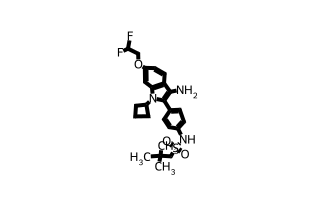 CC(C)(C)CS(=O)(=O)Nc1ccc(-c2c(N)c3ccc(OCC(F)F)cc3n2C2CCC2)cc1